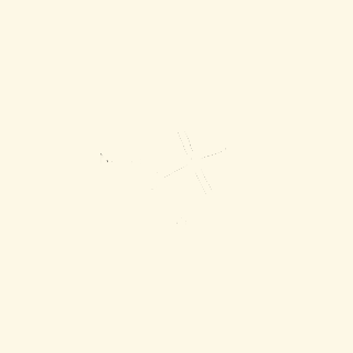 CS(=O)(=O)[O-].O.O.[Na+]